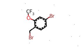 FC(F)(F)Oc1cc(Br)ccc1CBr